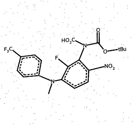 CN(c1ccc(C(F)(F)F)cc1)c1ccc([N+](=O)[O-])c(N(C(=O)O)C(=O)OC(C)(C)C)c1F